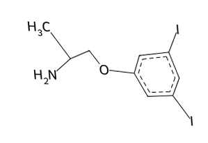 CC(N)COc1cc(I)cc(I)c1